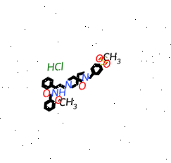 COc1ccccc1C(=O)NC(CCN1CCC2(CC1)CCN(Cc1ccc(S(C)(=O)=O)cc1)C2=O)c1ccccc1.Cl